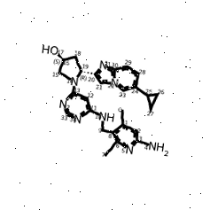 Cc1cc(N)nc(C)c1CNc1cc(N2C[C@@H](O)C[C@@H]2c2cn3cc(C4CC4)ccc3n2)ncn1